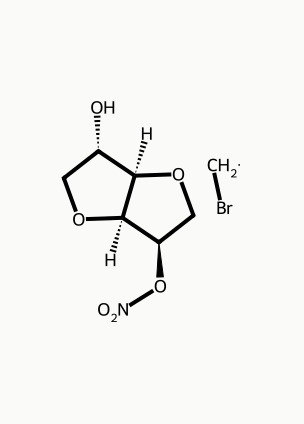 O=[N+]([O-])O[C@@H]1CO[C@H]2[C@@H]1OC[C@@H]2O.[CH2]Br